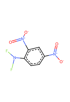 O=[N+]([O-])c1ccc(N(F)F)c([N+](=O)[O-])c1